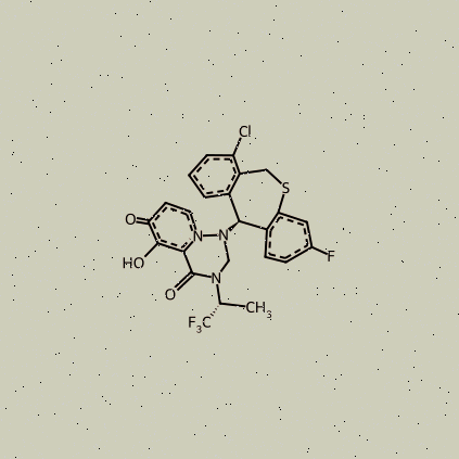 C[C@@H](N1CN([C@@H]2c3ccc(F)cc3SCc3c(Cl)cccc32)n2ccc(=O)c(O)c2C1=O)C(F)(F)F